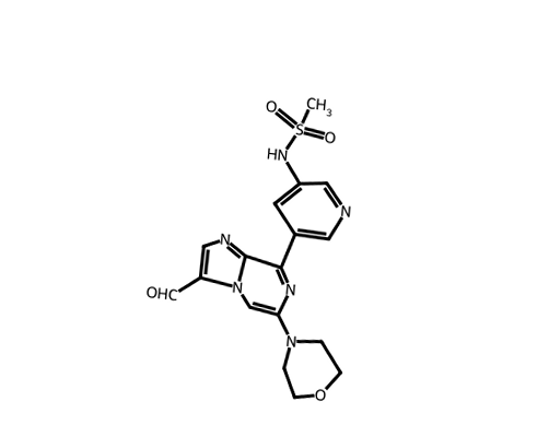 CS(=O)(=O)Nc1cncc(-c2nc(N3CCOCC3)cn3c(C=O)cnc23)c1